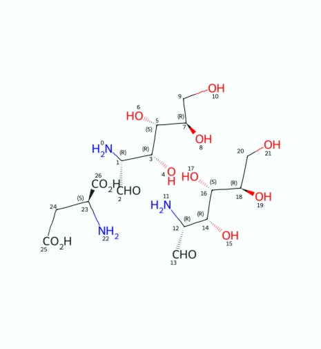 N[C@@H](C=O)[C@@H](O)[C@H](O)[C@H](O)CO.N[C@@H](C=O)[C@@H](O)[C@H](O)[C@H](O)CO.N[C@@H](CC(=O)O)C(=O)O